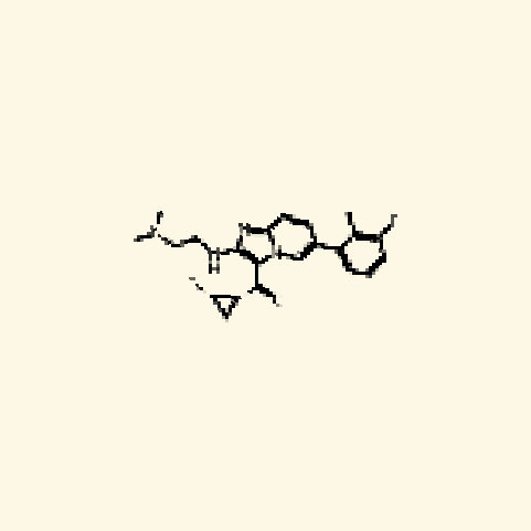 Cc1c(F)cccc1-c1ccc2nc(NCCN(C)C)c(C(=O)[C@@H]3C[C@@H]3F)n2c1